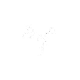 c1cc(-c2ccc3ccccc3c2)cc(N(c2ccc(-c3ccc(-c4ccccc4-n4c5ccccc5c5ccccc54)cc3)cc2)c2ccc(-c3cccc4ccccc34)cc2)c1